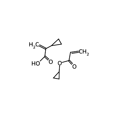 C=C(C(=O)O)C1CC1.C=CC(=O)OC1CC1